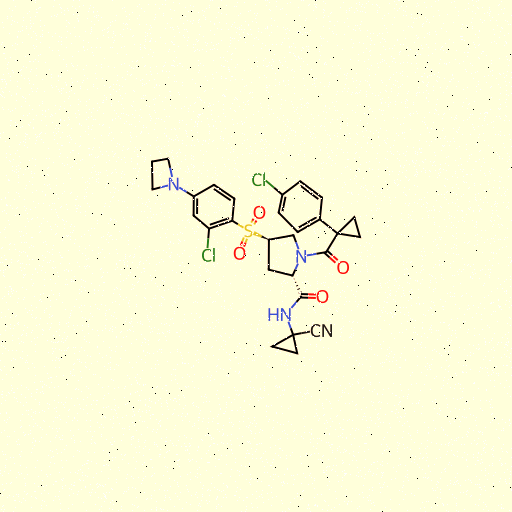 N#CC1(NC(=O)[C@@H]2C[C@@H](S(=O)(=O)c3ccc(N4CCC4)cc3Cl)CN2C(=O)C2(c3ccc(Cl)cc3)CC2)CC1